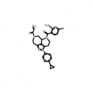 C=CC(=O)N1CCc2nn(-c3ccc(C4CC4)cc3)c3c2C(C1)N(C(=O)c1ccc(Br)nc1N)CC3